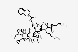 C=CCNC(=O)C(=O)C(CCCC)NC(=O)[C@@H]1C[C@@H](OC(=O)N2CCc3ccccc3C2)CN1C(=O)[C@@H](NC(=O)N[C@H](C(=O)C1CC1)C(C)C)C(C)(C)C